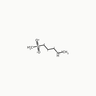 CNCCCS(C)(=O)=O